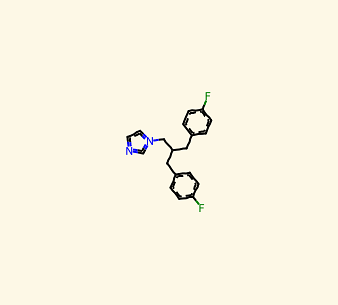 Fc1ccc(CC(Cc2ccc(F)cc2)Cn2ccnc2)cc1